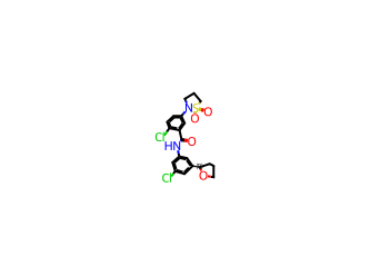 O=C(Nc1cc(Cl)cc([C@H]2CCCO2)c1)c1cc(N2CCCS2(=O)=O)ccc1Cl